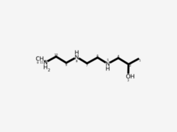 C.CC(O)CNCCNCCN